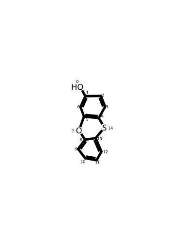 Oc1ccc2c(c1)Oc1ccccc1S2